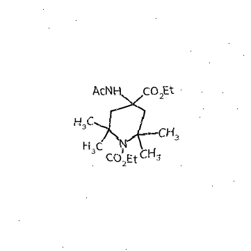 CCOC(=O)N1C(C)(C)CC(NC(C)=O)(C(=O)OCC)CC1(C)C